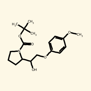 COc1ccc(OCC(O)C2CCCN2C(=O)OC(C)(C)C)cc1